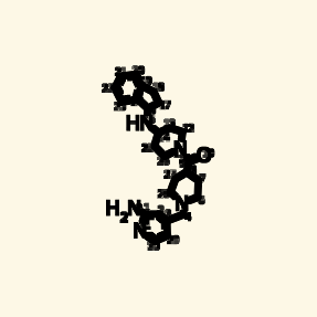 Nc1cc(CN2CCC(C(=O)N3CCC(NC4CCc5ccccc54)CC3)CC2)ccn1